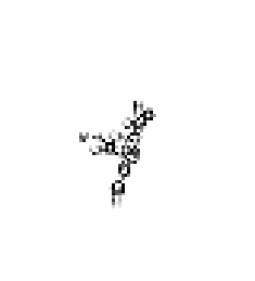 CNc1c(Cl)cc(C[C@@H](OC(=O)N2CCC(N3Cc4ccccc4NC3=O)CC2)C(=O)N2CCC(C3CCNCC3)CC2)cc1C(F)(F)F